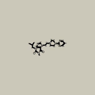 CC(C)Cn1c(=O)n(C)c(=O)c2c1ncn2CCN1CCN(c2ncccn2)CC1